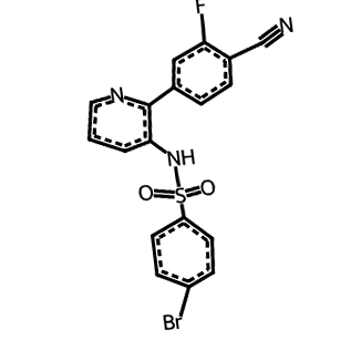 N#Cc1ccc(-c2ncccc2NS(=O)(=O)c2ccc(Br)cc2)cc1F